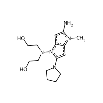 Cn1c(N)cc2c1cc(N1CCCC1)n2N(CCO)CCO